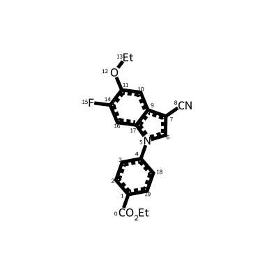 CCOC(=O)c1ccc(-n2cc(C#N)c3cc(OCC)c(F)cc32)cc1